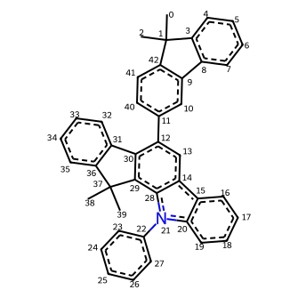 CC1(C)c2ccccc2-c2cc(-c3cc4c5ccccc5n(-c5ccccc5)c4c4c3-c3ccccc3C4(C)C)ccc21